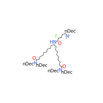 CCCCCCCCCCC(CCC(F)C(=O)NC(CCCCCCCCC(=O)N(CCCCCCCCCC)CCCCCCCCCC)CCCCCCCCC(=O)N(CCCCCCCCCC)CCCCCCCCCC)N(C)C